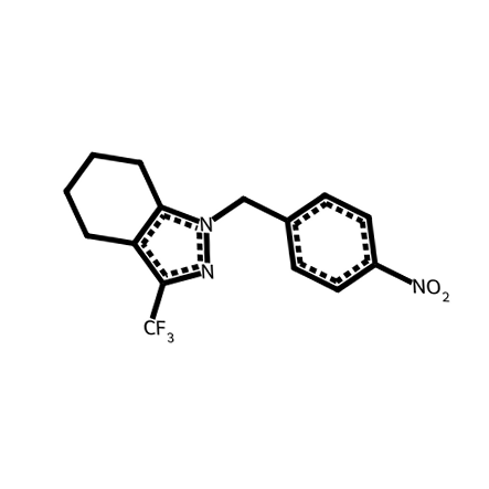 O=[N+]([O-])c1ccc(Cn2nc(C(F)(F)F)c3c2CCCC3)cc1